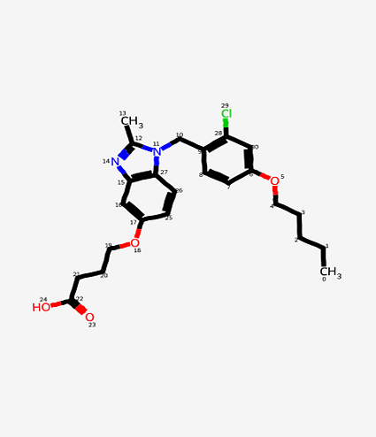 CCCCCOc1ccc(Cn2c(C)nc3cc(OCCCC(=O)O)ccc32)c(Cl)c1